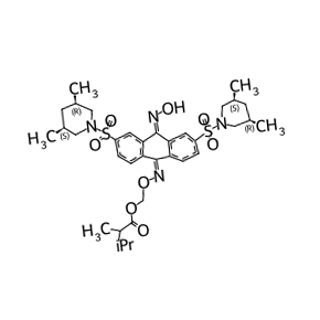 CC(C)C(C)C(=O)OCON=C1c2ccc(S(=O)(=O)N3C[C@H](C)C[C@H](C)C3)cc2C(=NO)c2cc(S(=O)(=O)N3C[C@H](C)C[C@H](C)C3)ccc21